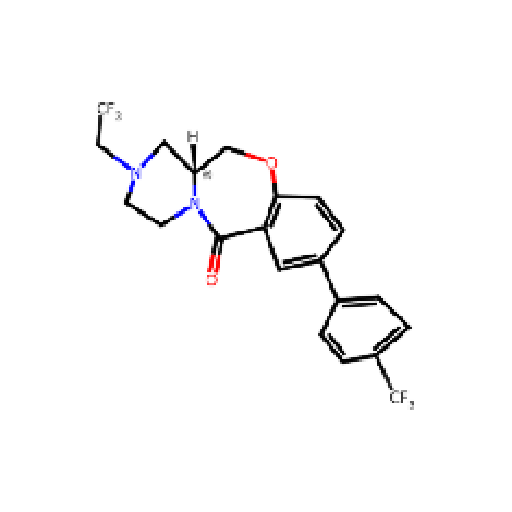 O=C1c2cc(-c3ccc(C(F)(F)F)cc3)ccc2OC[C@H]2CN(CC(F)(F)F)CCN12